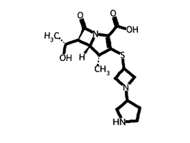 C[C@@H](O)[C@H]1C(=O)N2C(C(=O)O)=C(SC3CN(C4CCNC4)C3)[C@H](C)[C@H]12